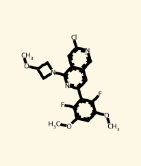 COc1cc(OC)c(F)c(-c2cc3cnc(Cl)cc3c(N3CC(OC)C3)n2)c1F